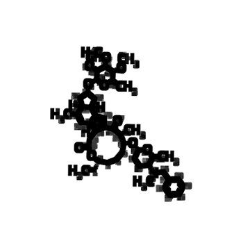 CC[C@H]1CCC[C@H](O[C@H]2CC[C@H](N(C)Cc3ccccc3)C(C)O2)[C@@H](C)C(=O)C2=C[C@@H]3[C@@H](C=C(C)[C@@H]4C[C@@H](O[C@@H]5OC(C)[C@H](OC)C(OC)C5OC)C[C@@H]34)[C@@H]2CC(=O)O1